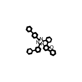 C1=CCC(c2cccc(-c3nc(C4=C(c5cccc6c5oc5ccccc56)CCC=C4)nc(-c4ccc(-c5ccccc5)cc4)n3)c2)C=C1